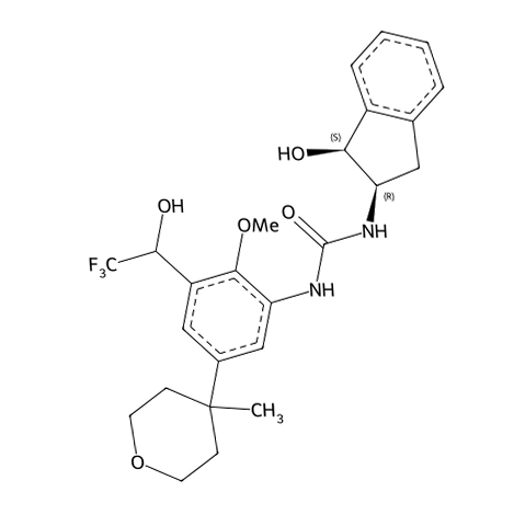 COc1c(NC(=O)N[C@@H]2Cc3ccccc3[C@@H]2O)cc(C2(C)CCOCC2)cc1C(O)C(F)(F)F